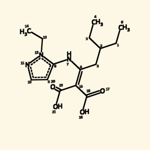 CCC(CC)CC(Nc1ccnn1CC)=C(C(=O)O)C(=O)O